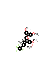 COc1ccc(C2(c3ccc(OC)cc3)C=Cc3c4c(c5cc(OC)c(OC)cc5c3O2)-c2ccc(-c3c(F)c(F)c(F)c(F)c3F)cc2C4(C)C)cc1